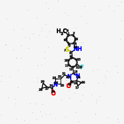 Cc1ccc2c(c1)SC(c1ccc(C3=NC4(CC4)C(=O)N3CC3CN(C(=O)C4CC4)C3)c(F)c1)N2